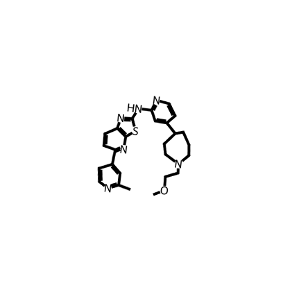 COCCN1CCCC(c2ccnc(Nc3nc4ccc(-c5ccnc(C)c5)nc4s3)c2)CC1